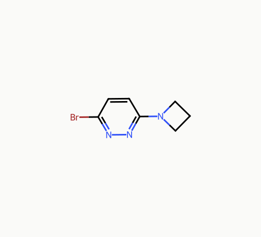 Brc1ccc(N2CCC2)nn1